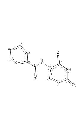 O=C(On1ccc(=O)[nH]c1=O)c1ccccc1